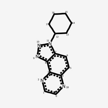 c1cnc2c(ccc3c2nnn3C2CCCCC2)n1